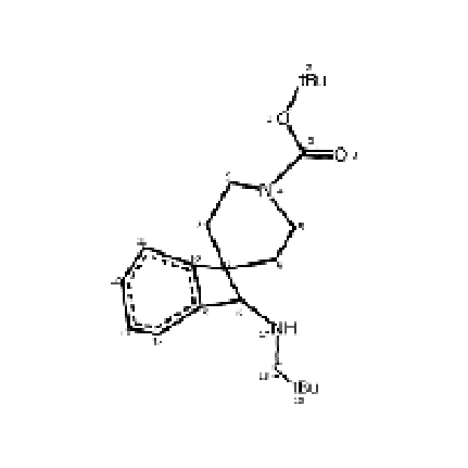 CC(C)(C)OC(=O)N1CCC2(CC1)c1ccccc1C2NSC(C)(C)C